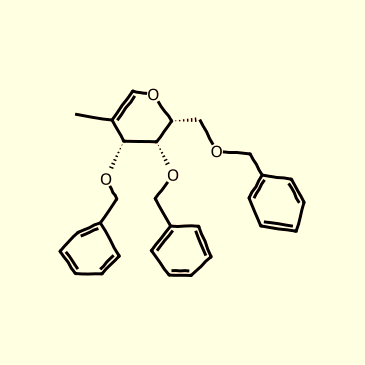 CC1=CO[C@H](COCc2ccccc2)[C@H](OCc2ccccc2)[C@@H]1OCc1ccccc1